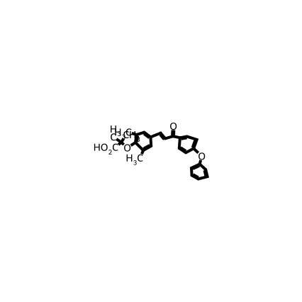 Cc1cc(/C=C/C(=O)c2ccc(Oc3ccccc3)cc2)cc(C)c1OC(C)(C)C(=O)O